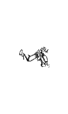 CCCCOc1ccccc1N(C)CCC1(O)CCN(Cc2ccccc2)CC1